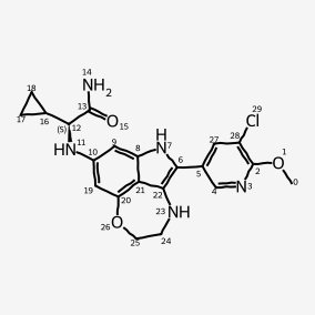 COc1ncc(-c2[nH]c3cc(N[C@H](C(N)=O)C4CC4)cc4c3c2NCCO4)cc1Cl